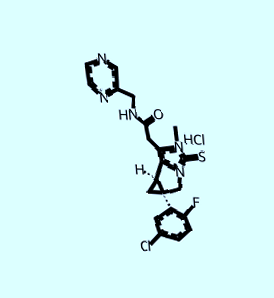 Cl.Cn1c(CC(=O)NCc2cnccn2)c2n(c1=S)C[C@@]1(c3cc(Cl)ccc3F)C[C@@H]21